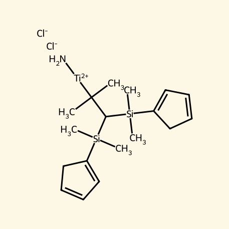 C[C](C)([Ti+2][NH2])C([Si](C)(C)C1=CC=CC1)[Si](C)(C)C1=CC=CC1.[Cl-].[Cl-]